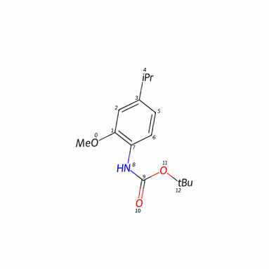 COc1cc(C(C)C)ccc1NC(=O)OC(C)(C)C